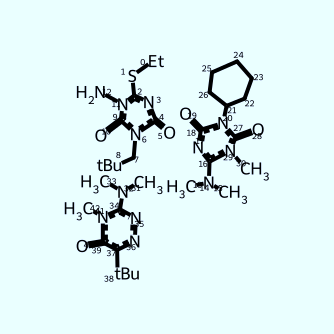 CCSc1nc(=O)n(CC(C)(C)C)c(=O)n1N.CN(C)c1nc(=O)n(C2CCCCC2)c(=O)n1C.CN(C)c1nnc(C(C)(C)C)c(=O)n1C